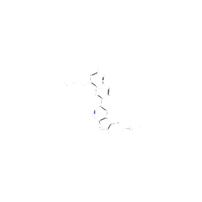 CC(=O)NCCc1cccc2ccc(-c3cnc4[nH]cc(CCNC(C)=O)c4c3)cc12